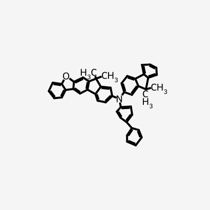 CC1(C)c2ccccc2-c2ccc(N(c3ccc(-c4ccccc4)cc3)c3ccc4c(c3)C(C)(C)c3cc5oc6ccccc6c5cc3-4)cc21